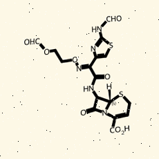 O=CNc1nc(C(=NOCCOC=O)C(=O)NC2C(=O)N3C(C(=O)O)=CCS[C@@H]23)cs1